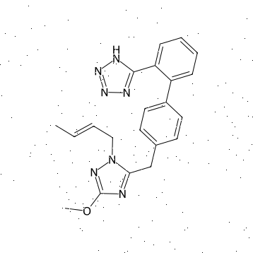 C/C=C/Cn1nc(OC)nc1Cc1ccc(-c2ccccc2-c2nnn[nH]2)cc1